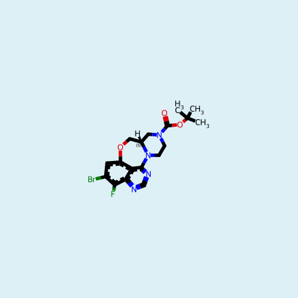 CC(C)(C)OC(=O)N1CCN2c3ncnc4c(F)c(Br)cc(c34)OC[C@@H]2C1